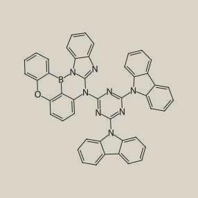 c1ccc2c(c1)Oc1cccc3c1B2n1c(nc2ccccc21)N3c1nc(-n2c3ccccc3c3ccccc32)nc(-n2c3ccccc3c3ccccc32)n1